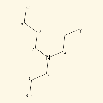 [CH2]CCN(CC[CH2])CCCC